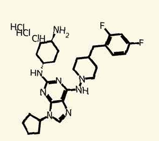 Cl.Cl.Cl.N[C@H]1CC[C@H](Nc2nc(NN3CCC(Cc4ccc(F)cc4F)CC3)c3ncn(C4CCCC4)c3n2)CC1